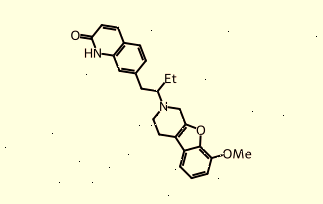 CCC(Cc1ccc2ccc(=O)[nH]c2c1)N1CCc2c(oc3c(OC)cccc23)C1